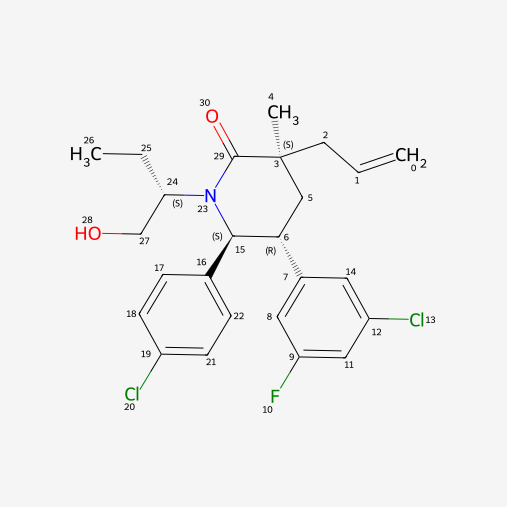 C=CC[C@@]1(C)C[C@H](c2cc(F)cc(Cl)c2)[C@@H](c2ccc(Cl)cc2)N([C@@H](CC)CO)C1=O